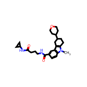 Cn1c2c(c3cc(C(=O)NCCCC(=O)NC4CC4)ccc31)CC(C1CCOCC1)CC2